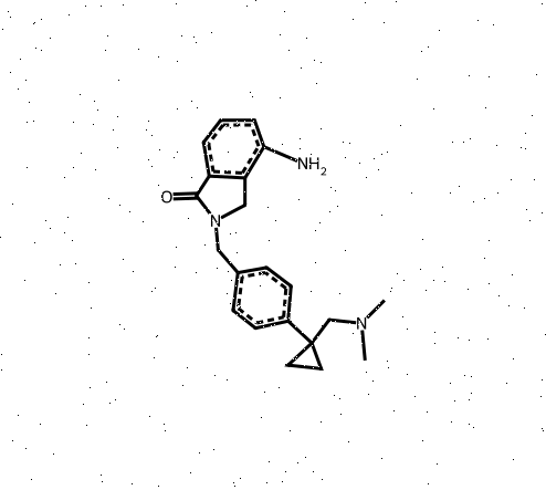 CN(C)CC1(c2ccc(CN3Cc4c(N)cccc4C3=O)cc2)CC1